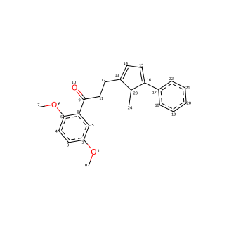 COc1ccc(OC)c(C(=O)CCC2=CC=C(c3ccccc3)C2C)c1